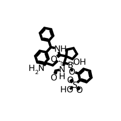 NCCC[C@@](NC=O)(B(O)Oc1ccccc1S(=O)(=O)O)C1(C(=O)NC(c2ccccc2)c2ccccc2)CCCC1